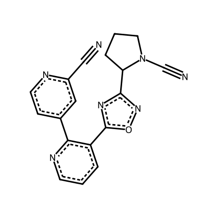 N#Cc1cc(-c2ncccc2-c2nc(C3CCCN3C#N)no2)ccn1